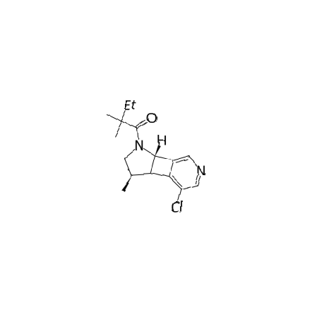 CCC(C)(C)C(=O)N1C[C@H](C)C2c3c(Cl)cncc3[C@H]21